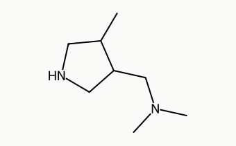 CC1CNCC1CN(C)C